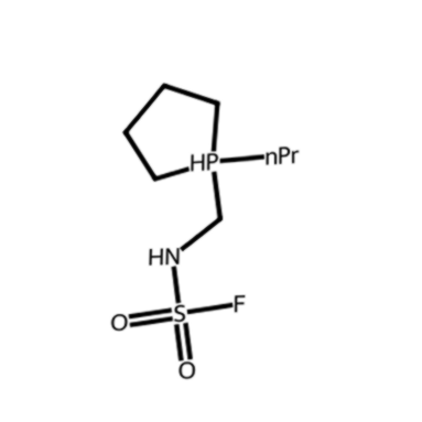 CCC[PH]1(CNS(=O)(=O)F)CCCC1